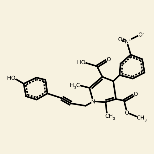 COC(=O)C1=C(C)N(CC#Cc2ccc(O)cc2)C(C)=C(C(=O)O)C1c1cccc([N+](=O)[O-])c1